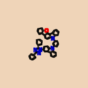 c1ccc(-c2nc(-c3ccccc3)n(-c3ccc4c(c3)c3ccccc3n4-c3cccc(-n4c5ccccc5c5c6oc7ccccc7c6ccc54)c3)n2)cc1